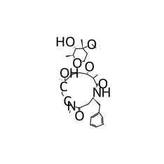 CO[C@]1(C)C[C@H](O[C@H]2CC[C@](C)(O)CCCN(C)C(=O)C[C@H](Cc3ccccc3)NC(=O)C2C)O[C@@H](C)[C@@H]1O